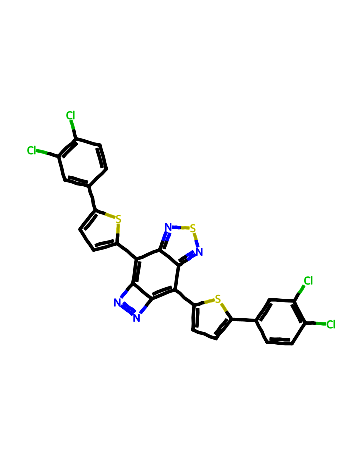 Clc1ccc(-c2ccc(-c3c4c(c(-c5ccc(-c6ccc(Cl)c(Cl)c6)s5)c5nsnc35)N=N4)s2)cc1Cl